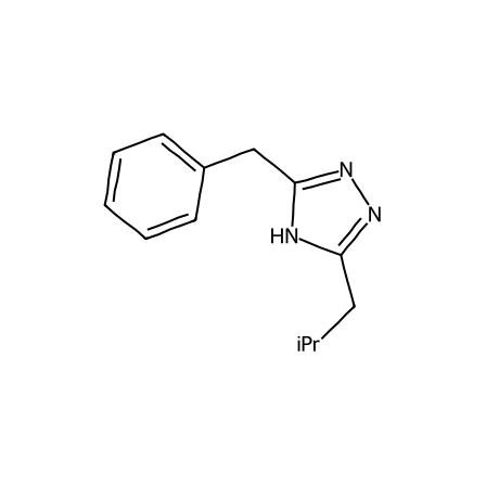 CC(C)Cc1nnc(Cc2ccccc2)[nH]1